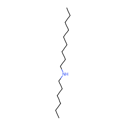 CCCCCCCCCNCCCCCC